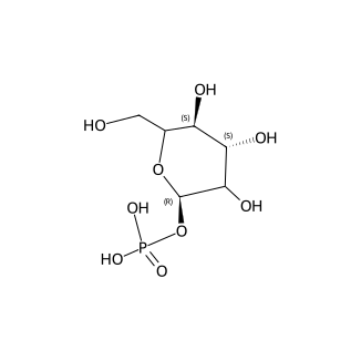 O=P(O)(O)O[C@H]1OC(CO)[C@@H](O)[C@H](O)C1O